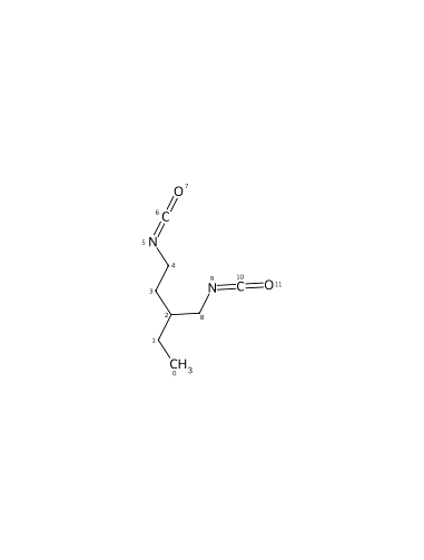 CCC(CCN=C=O)CN=C=O